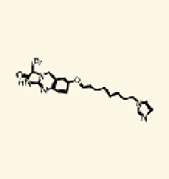 CC(C)C1C(=O)NC2=Nc3ccc(OCCCCCCCCn4ccnc4)cc3CN21